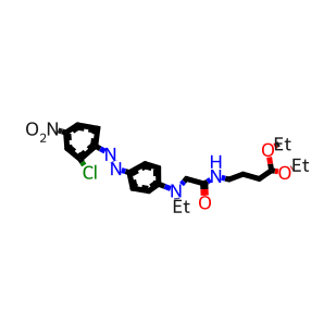 CCOC(CCCNC(=O)CN(CC)c1ccc(/N=N/c2ccc([N+](=O)[O-])cc2Cl)cc1)OCC